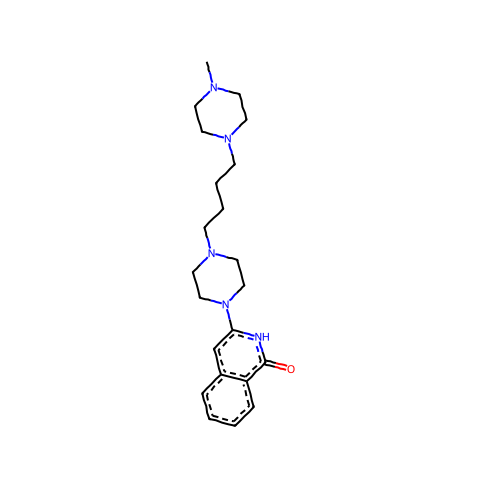 CN1CCN(CCCCN2CCN(c3cc4ccccc4c(=O)[nH]3)CC2)CC1